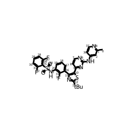 Cc1cc(Nc2nccc(-c3sc(C(C)(C)C)nc3-c3cccc(NS(=O)(=O)c4c(F)cccc4F)c3F)n2)ccn1